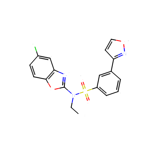 CCN(c1nc2cc(Cl)ccc2o1)S(=O)(=O)c1cccc(-c2ccon2)c1